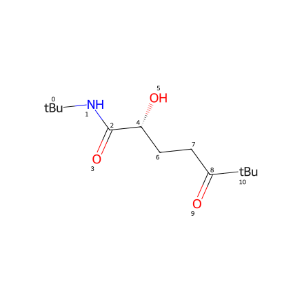 CC(C)(C)NC(=O)[C@H](O)CCC(=O)C(C)(C)C